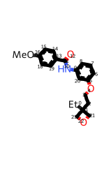 CCC1(CCOc2cccc(NC(=O)c3ccc(OC)cc3)c2)COC1